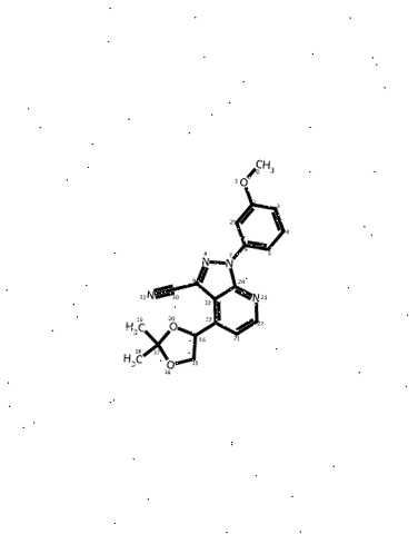 COc1cccc(-n2nc(C#N)c3c(C4COC(C)(C)O4)ccnc32)c1